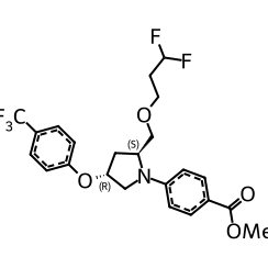 COC(=O)c1ccc(N2C[C@H](Oc3ccc(C(F)(F)F)cc3)C[C@H]2COCCC(F)F)cc1